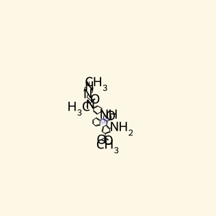 COC(=O)c1ccc(/C(C=O)=C(/Nc2ccc(N(C)C(=O)CN3CCN(C)CC3)cc2)c2ccccc2)c(N)c1